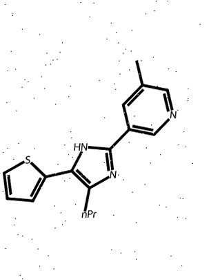 CCCc1nc(-c2cncc(C)c2)[nH]c1-c1cccs1